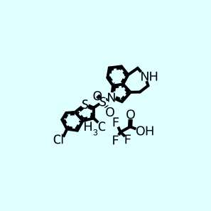 Cc1c(S(=O)(=O)n2cc3c4c(cccc42)CNCC3)sc2ccc(Cl)cc12.O=C(O)C(F)(F)F